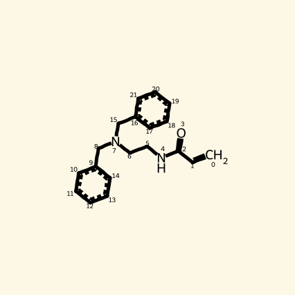 C=CC(=O)NCCN(Cc1ccccc1)Cc1ccccc1